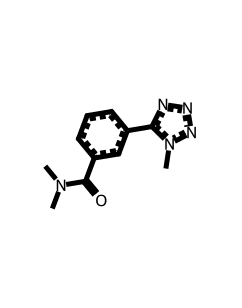 CN(C)C(=O)c1cccc(-c2nnnn2C)c1